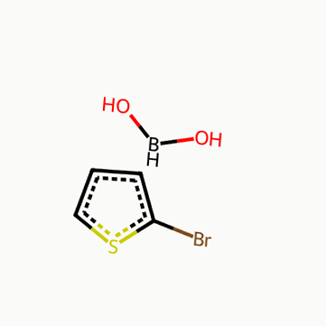 Brc1cccs1.OBO